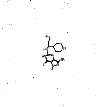 Cn1nc(C(C)(C)C)c2nc(NC(CCC(C)(C)C)C3CCNCC3)[nH]c(=O)c21